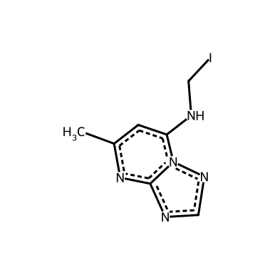 Cc1cc(NCI)n2ncnc2n1